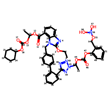 CCOc1nc2cccc(C(=O)OC(C)OC(=O)OC3CCCCC3)c2n1Cc1ccc(-c2ccccc2-c2nnn(C(C)OC(=O)Oc3ccccc3CON(O)O)n2)cc1